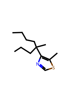 CCCCC(C)(CCC)c1ncsc1C